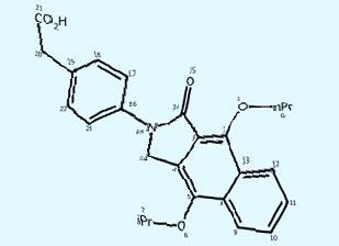 CCCOc1c2c(c(OC(C)C)c3ccccc13)CN(c1ccc(CC(=O)O)cc1)C2=O